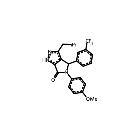 COc1ccc(N2C(=O)c3[nH]nc(CC(C)C)c3C2c2cccc(C(F)(F)F)c2)cc1